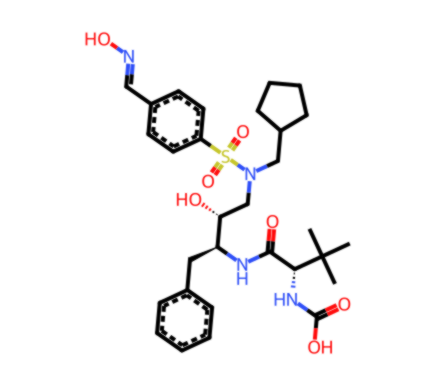 CC(C)(C)[C@H](NC(=O)O)C(=O)N[C@@H](Cc1ccccc1)[C@H](O)CN(CC1CCCC1)S(=O)(=O)c1ccc(/C=N/O)cc1